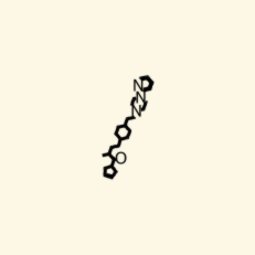 CC(CCC1CCC(CCN2CCN(c3ccccn3)CC2)CC1)C(=O)C1CC=CC1